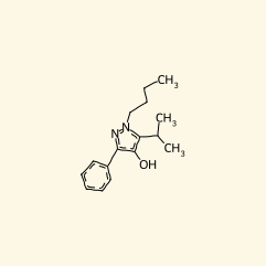 CCCCn1nc(-c2ccccc2)c(O)c1C(C)C